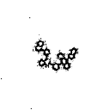 C1=CC(c2nc(-c3cccc(-c4cccc5ccccc45)c3)c3ccccc3n2)CC(c2c3ccccc3c(-c3ccc4ccccc4c3)c3ccccc23)=C1